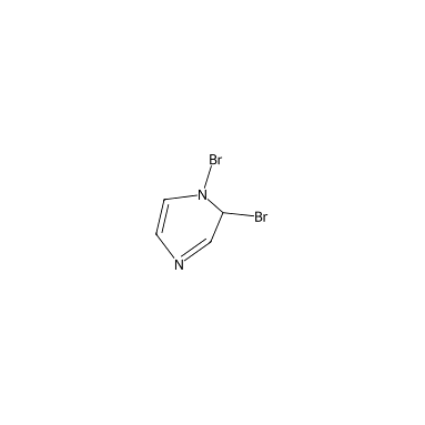 BrC1C=NC=CN1Br